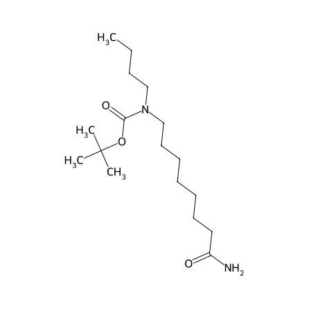 CCCCN(CCCCCCCC(N)=O)C(=O)OC(C)(C)C